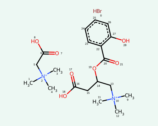 Br.C[N+](C)(C)CC(=O)O.C[N+](C)(C)CC(CC(=O)O)OC(=O)c1ccccc1O